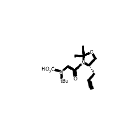 C=CC[C@H]1COC(C)(C)N1C(=O)CN(C(=O)O)C(C)(C)C